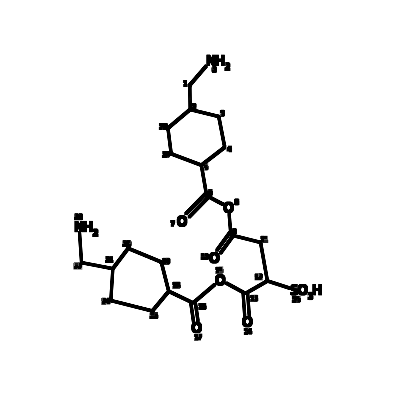 NCC1CCC(C(=O)OC(=O)CC(C(=O)OC(=O)C2CCC(CN)CC2)S(=O)(=O)O)CC1